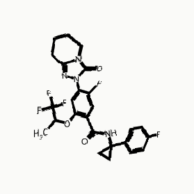 CC(Oc1cc(-n2nc3n(c2=O)CCCC3)c(F)cc1C(=O)NC1(c2ccc(F)cc2)CC1)C(F)(F)F